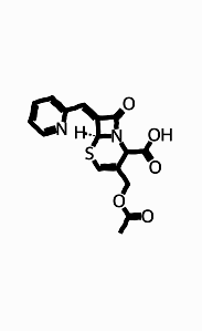 CC(=O)OCC1=CS[C@H]2/C(=C\c3ccccn3)C(=O)N2C1C(=O)O